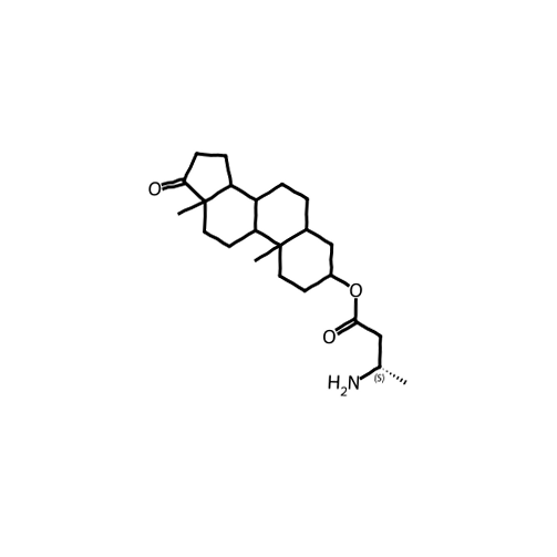 C[C@H](N)CC(=O)OC1CCC2(C)C(CCC3C4CCC(=O)C4(C)CCC32)C1